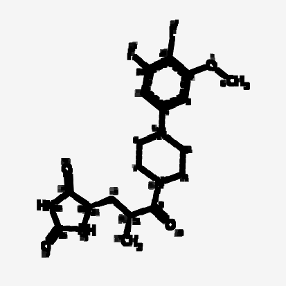 COc1cc(N2CCN(C(=O)[C@@H](C)C[C@H]3NC(=O)NC3=O)CC2)cc(F)c1F